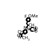 COc1ccc(CC(C)c2nc3cc(-c4c(C)noc4C)ccc3n2C2CCS(=O)(=O)CC2)cc1F